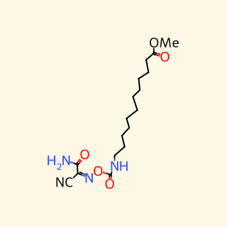 COC(=O)CCCCCCCCCCCNC(=O)ON=C(C#N)C(N)=O